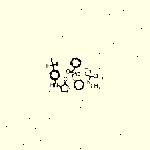 CC(C)N(C)[C@@H]1CC[C@H](N2CCC(Nc3ccc(C(F)(F)F)cc3)C2=O)[C@H](CS(=O)(=O)c2ccccc2)C1